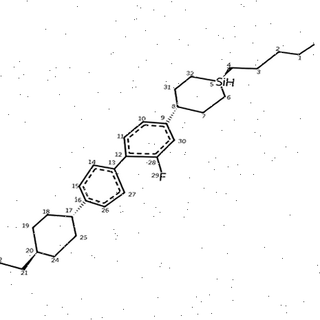 CCCCC[Si@H]1CC[C@H](c2ccc(-c3ccc([C@H]4CC[C@H](CCC)CC4)cc3)c(F)c2)CC1